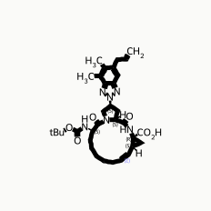 C=CCc1cc2nn([C@H]3C[C@H]4C(=O)N[C@]5(C(=O)O)C[C@H]5/C=C\CCCCC[C@H](NC(=O)OC(C)(C)C)C(=O)N4C3)nc2c(C)c1C